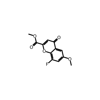 COC(=O)c1cc(=O)c2cc(OC)cc(F)c2o1